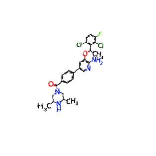 CC1CN(C(=O)c2ccc(-c3cnc(N)c(OC(C)c4c(Cl)ccc(F)c4Cl)c3)cc2)CC(C)N1